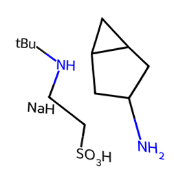 CC(C)(C)NCCS(=O)(=O)O.NC1CC2CC2C1.[NaH]